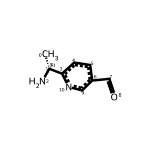 C[C@@H](N)c1ccc(C=O)cn1